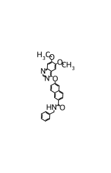 COc1cc2ncnc(Oc3ccc4cc(C(=O)NCc5ccccc5)ccc4c3)c2cc1OC